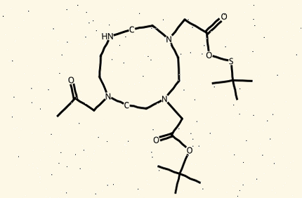 CC(=O)CN1CCNCCN(CC(=O)OSC(C)(C)C)CCN(CC(=O)OC(C)(C)C)CC1